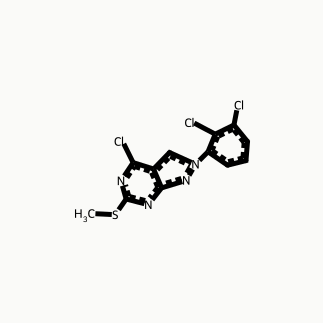 CSc1nc(Cl)c2cn(-c3cccc(Cl)c3Cl)nc2n1